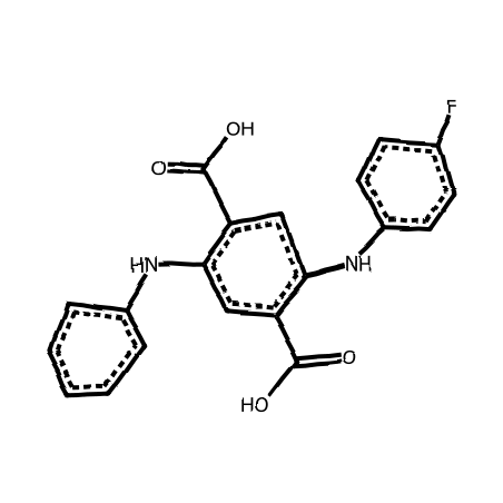 O=C(O)c1cc(Nc2ccc(F)cc2)c(C(=O)O)cc1Nc1ccccc1